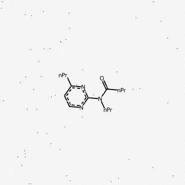 CCCC(=O)N(CCC)c1nccc(CCC)n1